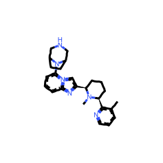 Cc1cccnc1[C@@H]1CCC[C@H](c2cn3c(N4C5CCC4CNC5)cccc3n2)N1C